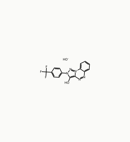 Oc1c2nnc3ccccc3[n+]2nn1-c1ccc(C(F)(F)F)cc1.[OH-]